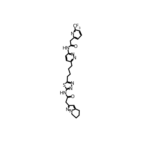 O=C(Cc1cccc(C(F)(F)F)n1)Nc1ccc(CCCCc2nnc(NC(=O)Cc3cc4n(n3)CCCC4)s2)nn1